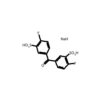 O=C(c1ccc(F)c(S(=O)(=O)O)c1)c1ccc(F)c(S(=O)(=O)O)c1.[NaH]